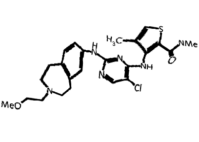 CNC(=O)c1scc(C)c1Nc1nc(Nc2ccc3c(c2)CCN(CCOC)CC3)ncc1Cl